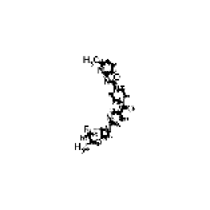 Cc1ccc2oc(N3CCN(C(=O)c4cnc(N5CC(OC(C)C(F)(F)F)C5)nc4)CC3)nc2n1